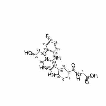 O=C(O)CNC(=O)C1CCC2NC3=C(C(Nc4ccc(F)cc4OCCO)=NCN3)C2C1